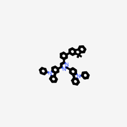 CC1(C)c2ccccc2-c2ccc(-c3cccc(-c4cc(-c5ccc6c(c5)c5ccccc5n6-c5ccccc5)nc(-c5ccc6c(c5)c5ccccc5n6-c5ccccc5)n4)c3)cc21